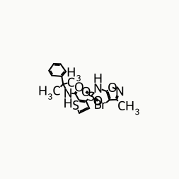 Cc1noc(NS(=O)(=O)c2ccsc2C(=O)NC(C)(C)c2ccccc2)c1Br